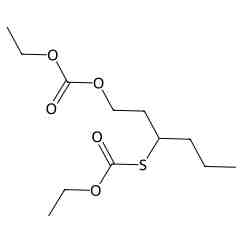 CCCC(CCOC(=O)OCC)SC(=O)OCC